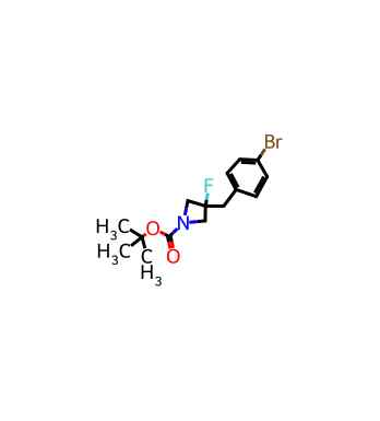 CC(C)(C)OC(=O)N1CC(F)(Cc2ccc(Br)cc2)C1